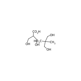 CC(CO)(CO)C(=O)O.O=C(O)C(CO)CO